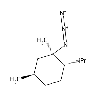 CC(C)[C@@H]1CC[C@@H](C)C[C@@]1(C)N=[N+]=[N-]